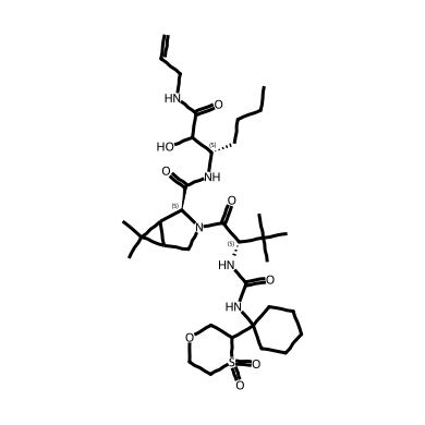 C=CCNC(=O)C(O)[C@H](CCCC)NC(=O)[C@@H]1C2C(CN1C(=O)[C@@H](NC(=O)NC1(C3COCCS3(=O)=O)CCCCC1)C(C)(C)C)C2(C)C